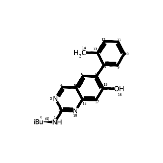 CC[C@H](C)Nc1ncc2cc(-c3ccccc3C)c(O)cc2n1